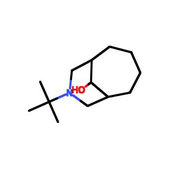 CC(C)(C)N1CC2CCCCC(C1)C2O